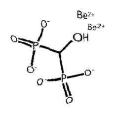 O=P([O-])([O-])C(O)P(=O)([O-])[O-].[Be+2].[Be+2]